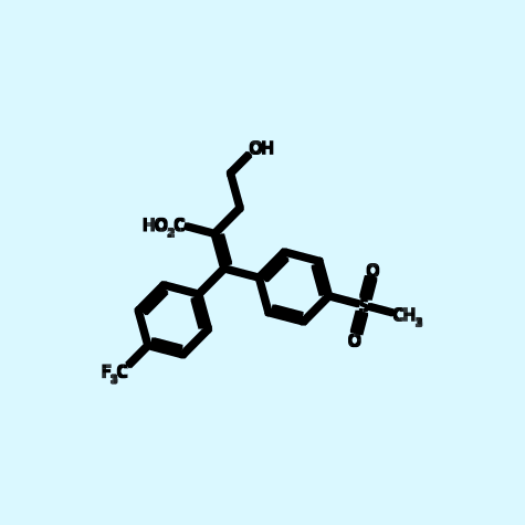 CS(=O)(=O)c1ccc(C(=C(CCO)C(=O)O)c2ccc(C(F)(F)F)cc2)cc1